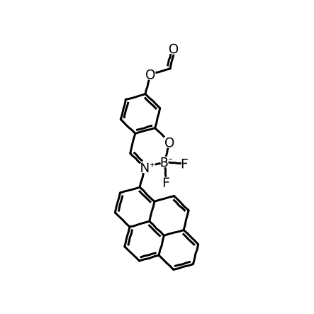 O=COc1ccc2c(c1)O[B-](F)(F)[N+](c1ccc3ccc4cccc5ccc1c3c45)=C2